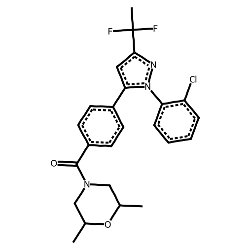 CC1CN(C(=O)c2ccc(-c3cc(C(C)(F)F)nn3-c3ccccc3Cl)cc2)CC(C)O1